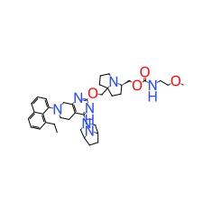 CCc1cccc2cccc(N3CCc4c(nc(OCC56CCCN5[C@@H](COC(=O)NCCOC)CC6)nc4N4CC5CCC(C4)N5)C3)c12